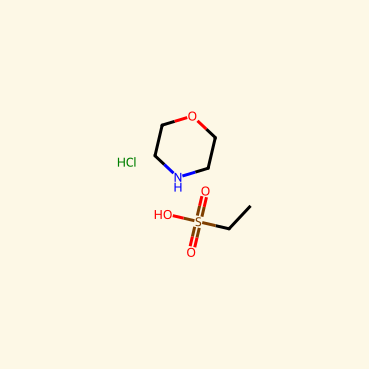 C1COCCN1.CCS(=O)(=O)O.Cl